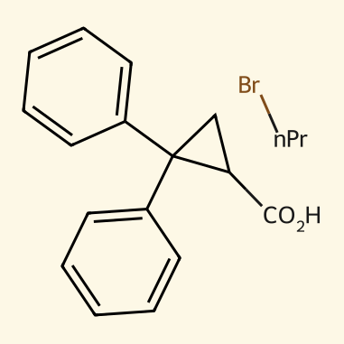 CCCBr.O=C(O)C1CC1(c1ccccc1)c1ccccc1